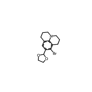 Brc1c(C2OCCO2)cc2c3c1CCCN3CCC2